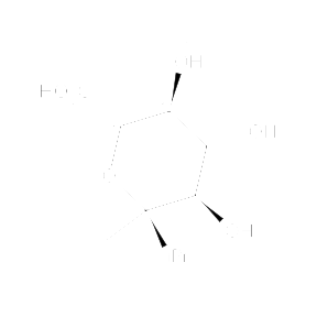 CC(C)[C@@]1(C)O[C@H](C(=O)O)[C@@H](O)[C@H](O)[C@H]1O